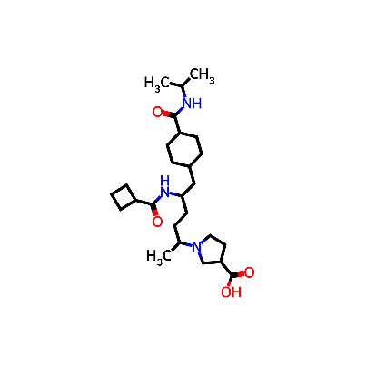 CC(C)NC(=O)C1CCC(CC(CCC(C)N2CCC(C(=O)O)C2)NC(=O)C2CCC2)CC1